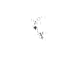 CCc1ccc(C(C#N)NC(=O)c2cn(CCNC(=O)c3ccc(C)nc3OC)nn2)cc1